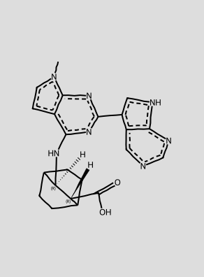 Cn1ccc2c(N[C@@H]3C4CCC(CC4)[C@H]3C(=O)O)nc(-c3c[nH]c4ncncc34)nc21